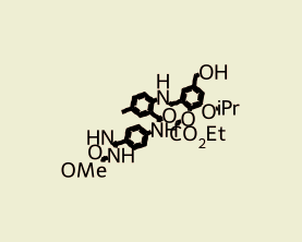 CCOC(=O)COc1c(CNc2ccc(C)cc2C(=O)Nc2ccc(C(=N)NC(=O)OC)cc2)cc(CO)cc1OC(C)C